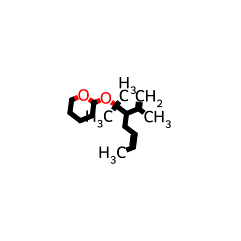 C=C(C)C(C/C=C\C)C(C)(C)OC1CCCCO1